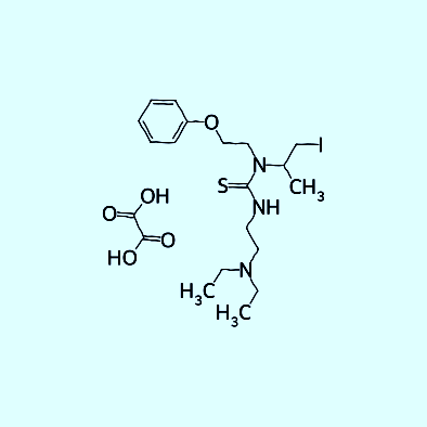 CCN(CC)CCNC(=S)N(CCOc1ccccc1)C(C)CI.O=C(O)C(=O)O